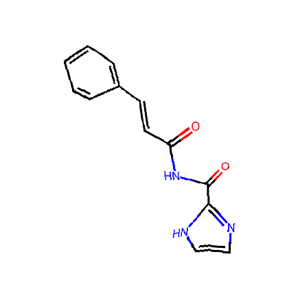 O=C(/C=C/c1ccccc1)NC(=O)c1ncc[nH]1